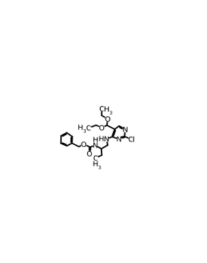 CCOC(OCC)c1cnc(Cl)nc1NCC(CC)NC(=O)OCc1ccccc1